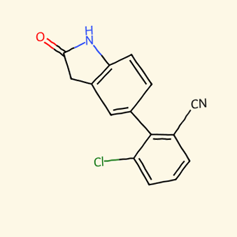 N#Cc1cccc(Cl)c1-c1ccc2c(c1)CC(=O)N2